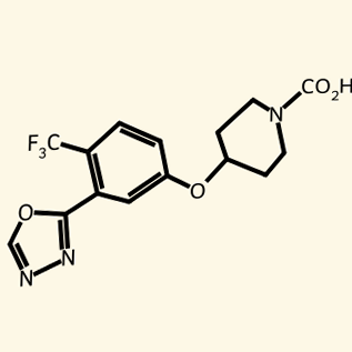 O=C(O)N1CCC(Oc2ccc(C(F)(F)F)c(-c3nnco3)c2)CC1